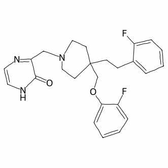 O=c1[nH]ccnc1CN1CCC(CCc2ccccc2F)(COc2ccccc2F)CC1